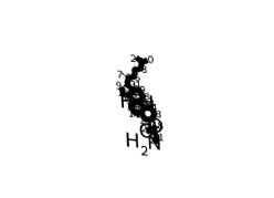 CC(C)CCC[C@@H](C)[C@H]1CC[C@H]2[C@@H]3CC=C4C[C@@H](OC(=O)CN)CC[C@]4(C)[C@H]3CC[C@]12C